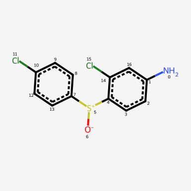 Nc1ccc([S+]([O-])c2ccc(Cl)cc2)c(Cl)c1